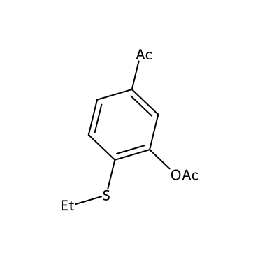 CCSc1ccc(C(C)=O)cc1OC(C)=O